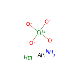 Cl.N.[Al+].[O-][Cl+3]([O-])([O-])[O-]